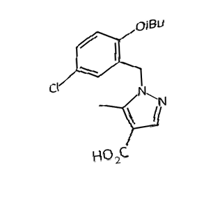 Cc1c(C(=O)O)cnn1Cc1cc(Cl)ccc1OCC(C)C